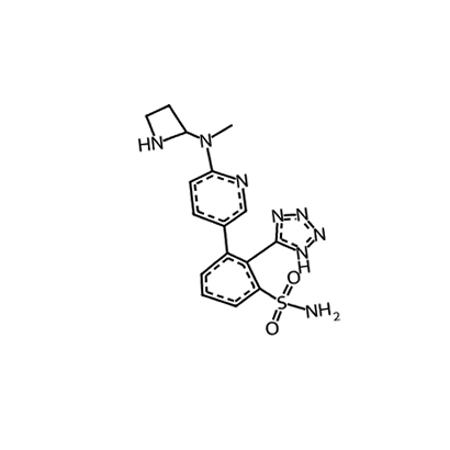 CN(c1ccc(-c2cccc(S(N)(=O)=O)c2-c2nnn[nH]2)cn1)C1CCN1